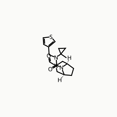 CC1(N(Cc2ccsc2)C(=O)N2[C@@H]3CC[C@H]2CN(C=O)C3)CC1